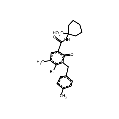 CCc1c(C)cc(C(=O)NC2(C(=O)O)CCCCC2)c(=O)n1Cc1ccc(C)cc1